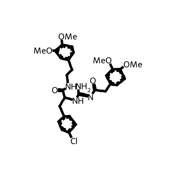 COc1ccc(CCNC(=O)C(Cc2ccc(Cl)cc2)NC(N)=NC(=O)Cc2ccc(OC)c(OC)c2)cc1OC